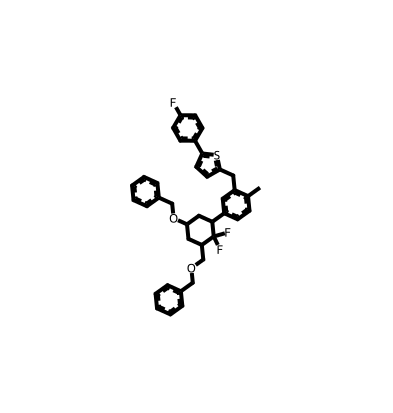 Cc1ccc(C2CC(OCc3ccccc3)CC(COCc3ccccc3)C2(F)F)cc1Cc1ccc(-c2ccc(F)cc2)s1